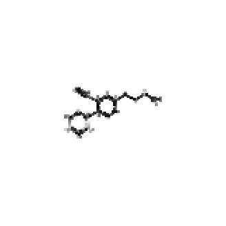 N#Cc1cc(C[CH]CO)ccc1-c1ccccc1